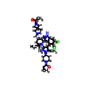 C=CC(=O)N1CCC(n2nc(N3CC[C@@H](CN4CCC5(C4)CN(C(C)=O)C5)CC3(C)C)c(-c3c(Cl)c(Cl)cc4[nH]ncc34)c2C)CC1